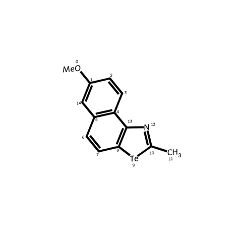 COc1ccc2c(ccc3[te]c(C)nc32)c1